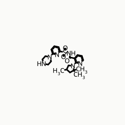 CC1CN(c2ncccc2C(=O)NS(=O)(=O)c2cccc(N3CCNCC3)n2)C(C)(C)C1